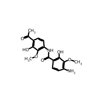 COc1c(N)ccc(C(=O)Nc2ccc(C(C)=O)c(O)c2OC)c1O